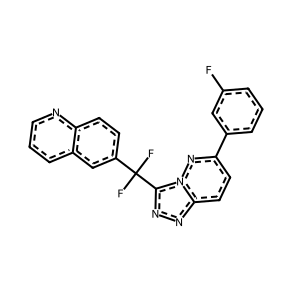 Fc1cccc(-c2ccc3nnc(C(F)(F)c4ccc5ncccc5c4)n3n2)c1